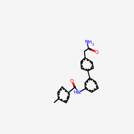 Cc1ccc(C(=O)Nc2cccc(-c3ccc(CC(N)=O)cc3)c2)cc1